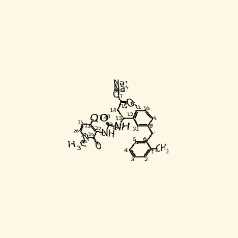 Cc1ccccc1Cc1cccc([C@H](CC(=O)[O-])NC(=O)Nc2c([O-])ccn(C)c2=O)c1.[Na+].[Na+]